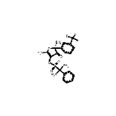 BC(B)(c1ccccc1)S(=O)(=O)OC1=C(N)O[C@@](B)(c2cccc(C(F)(F)F)c2)C1=O